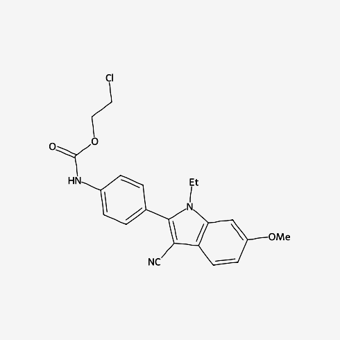 CCn1c(-c2ccc(NC(=O)OCCCl)cc2)c(C#N)c2ccc(OC)cc21